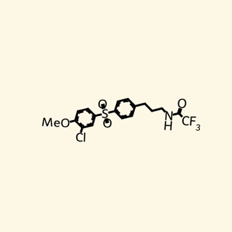 COc1ccc(S(=O)(=O)c2ccc(CCCNC(=O)C(F)(F)F)cc2)cc1Cl